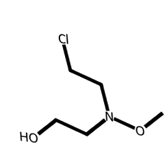 CON(CCO)CCCl